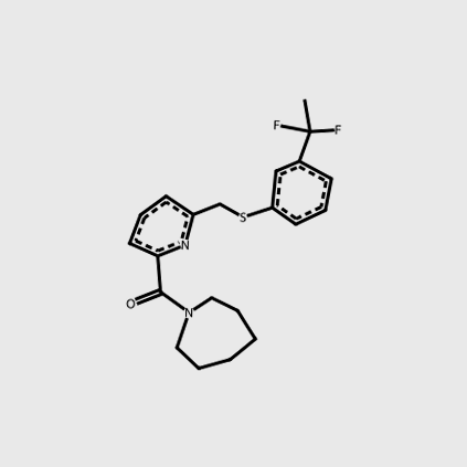 CC(F)(F)c1cccc(SCc2cccc(C(=O)N3CCCCCC3)n2)c1